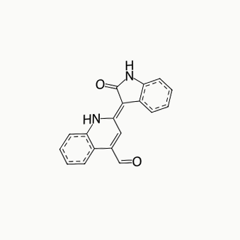 O=CC1=CC(=C2C(=O)Nc3ccccc32)Nc2ccccc21